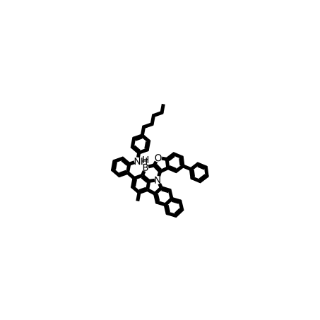 CCCCCc1ccc(Nc2ccccc2-c2cc(C)c3c4cc5ccccc5cc4n4c3c2Bc2oc3ccc(-c5ccccc5)cc3c2-4)cc1